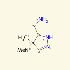 CNC1(C)C=NNC1CN